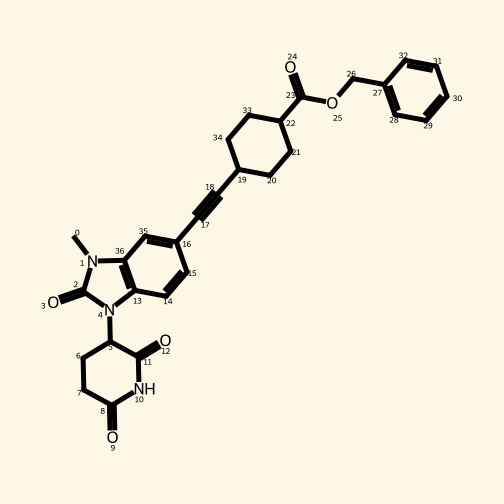 Cn1c(=O)n(C2CCC(=O)NC2=O)c2ccc(C#CC3CCC(C(=O)OCc4ccccc4)CC3)cc21